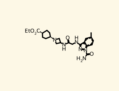 CCOC(=O)[C@H]1CC[C@@H](N2CC(NC(=O)CNc3nn(C(N)=O)c4ccc(C)cc34)C2)CC1